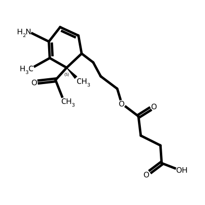 CC(=O)[C@]1(C)C(C)=C(N)C=CC1CCCOC(=O)CCC(=O)O